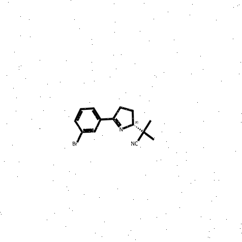 CC(C)(C#N)[C@H]1CCC(c2cccc(Br)c2)=N1